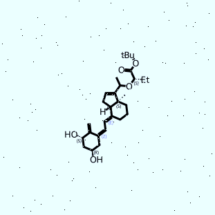 C=C1/C(=C\C=C2/CCC[C@]3(C)C(C(C)O[C@@H](CC)C(=O)OC(C)(C)C)=CC[C@@H]23)C[C@@H](O)C[C@@H]1O